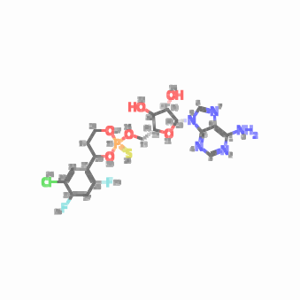 Nc1ncnc2c1ncn2[C@@H]1O[C@H](COP2(=S)OCCC(c3cc(Cl)c(F)cc3F)O2)C(O)[C@@H]1O